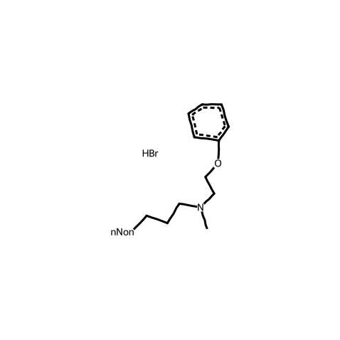 Br.CCCCCCCCCCCCN(C)CCOc1ccccc1